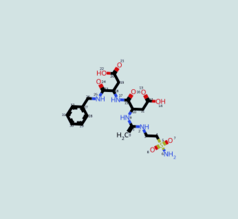 C=C(NCCS(N)(=O)=O)NC(CC(=O)O)C(=O)NC(CC(=O)O)C(=O)NCc1ccccc1